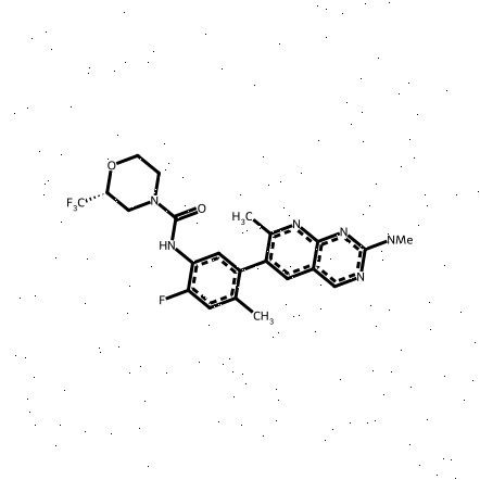 CNc1ncc2cc(-c3cc(NC(=O)N4CCO[C@@H](C(F)(F)F)C4)c(F)cc3C)c(C)nc2n1